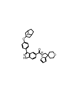 CN1C2CCC1CC(Oc1ccc(-c3n[nH]c4ccc(C(=O)NCC5(c6cccs6)CCOCC5)cc34)cc1)C2